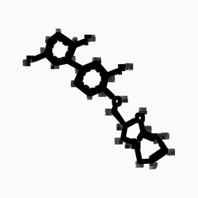 Fc1ccc(F)c(-c2ccc(OC[C@@H]3CN4CC=CN=C4O3)c(F)c2)c1